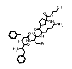 CC(C)C[C@@H](NC(=O)[C@@H](Cc1ccccc1)NC(=O)[C@H](N)Cc1ccccc1)C(=O)N[C@H](CCCCN)C(=O)N1CCC(N)(C(=O)OCCO)C1